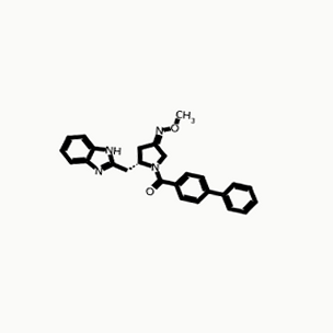 CON=C1C[C@@H](Cc2nc3ccccc3[nH]2)N(C(=O)c2ccc(-c3ccccc3)cc2)C1